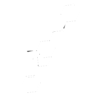 CC[C@]12CC3CC(C(=O)N[C@@H]4CCNC[C@H]4O)(C1)C[C@@](c1ccccc1)(C3)C2